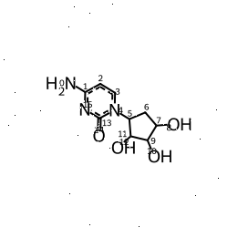 Nc1ccn(C2CC(O)C(O)C2O)c(=O)n1